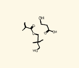 C=C(C)C(=O)OCC(C)(C)CO.O=C(O)CCO